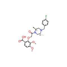 COc1ccc(C(=O)O)c(OCC(=O)N2C[C@@H](C)N(Cc3ccc(F)cc3)C[C@@H]2C)c1OC